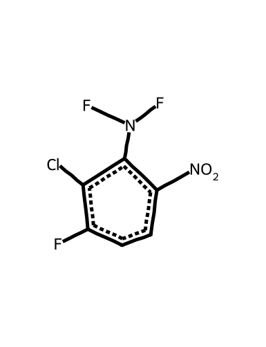 O=[N+]([O-])c1ccc(F)c(Cl)c1N(F)F